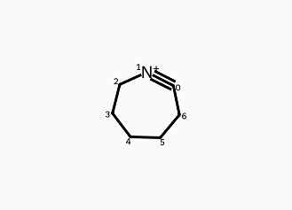 C1#[N+]CCCCC1